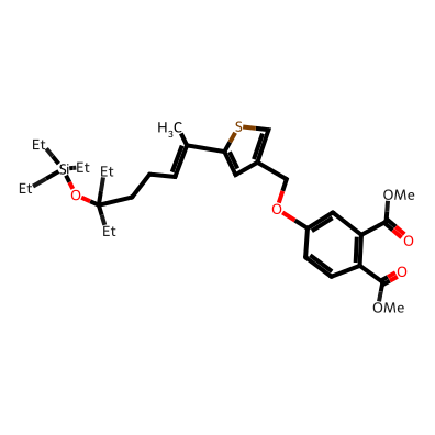 CCC(CC)(CCC=C(C)c1cc(COc2ccc(C(=O)OC)c(C(=O)OC)c2)cs1)O[Si](CC)(CC)CC